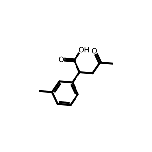 CC(=O)CC(C(=O)O)c1cccc(C)c1